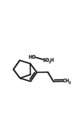 C=CCC1=CC2CCC1C2.O=S(=O)(O)O